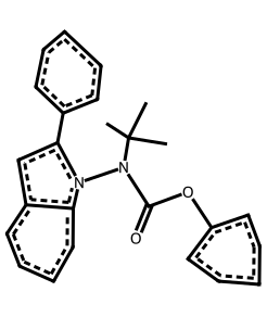 CC(C)(C)N(C(=O)Oc1ccccc1)n1c(-c2ccccc2)cc2ccccc21